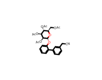 CC(=O)OC[C@H]1O[C@H](Oc2ccccc2-c2cccc(CC#N)c2)[C@@H](OC(C)=O)[C@@H](OC(C)=O)[C@@H]1OC(C)=O